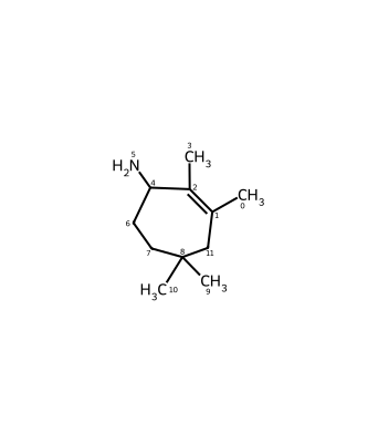 CC1=C(C)C(N)CCC(C)(C)C1